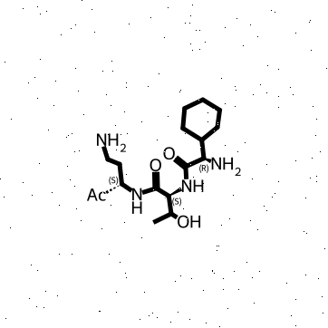 CC(=O)[C@H](CCN)NC(=O)[C@@H](NC(=O)[C@H](N)C1CCCCC1)C(C)O